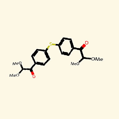 COC(OC)C(=O)c1ccc(Sc2ccc(C(=O)C(OC)OC)cc2)cc1